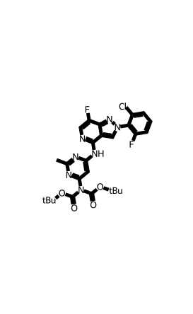 Cc1nc(Nc2ncc(F)c3nn(-c4c(F)cccc4Cl)cc23)cc(N(C(=O)OC(C)(C)C)C(=O)OC(C)(C)C)n1